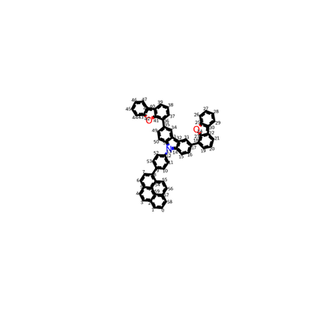 c1cc2ccc3ccc(-c4ccc(-n5c6ccc(-c7cccc8c7oc7ccccc78)cc6c6cc(-c7cccc8c7oc7ccccc78)ccc65)cc4)c4ccc(c1)c2c34